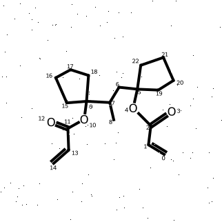 C=CC(=O)OC1(CC(C)C2(OC(=O)C=C)CCCC2)CCCC1